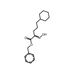 O=C(OCc1ccccc1)C(CCCC1CCCCC1)=NO